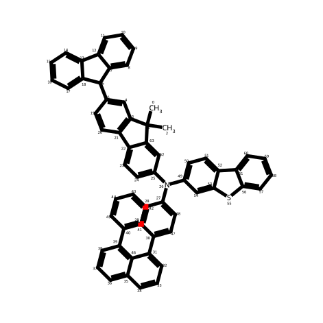 CC1(C)c2cc(C3c4ccccc4-c4ccccc43)ccc2-c2ccc(N(c3ccc(-c4cccc5cccc(-c6ccccc6)c45)cc3)c3ccc4c(c3)sc3ccccc34)cc21